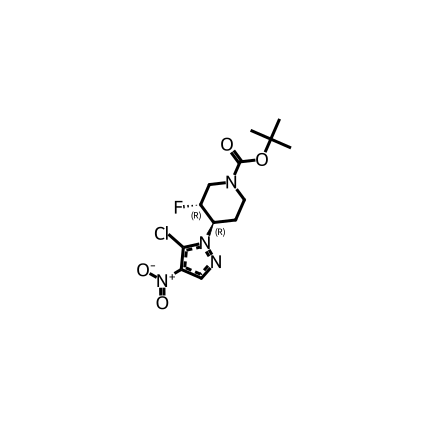 CC(C)(C)OC(=O)N1CC[C@@H](n2ncc([N+](=O)[O-])c2Cl)[C@H](F)C1